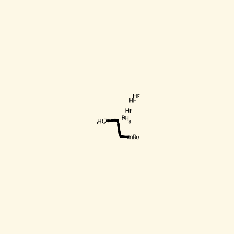 B.CCCCCCO.F.F.F